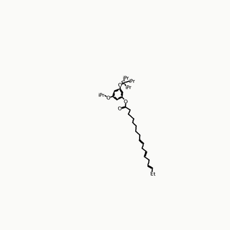 CCC=CCC=CCC=CCCCCCCCC(=O)Oc1cc(OC(C)C)cc(O[Si](C(C)C)(C(C)C)C(C)C)c1